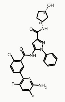 Nc1nc(-c2ccc(Cl)c(C(=O)Nc3cc(C(=O)N[C@@H]4CC[C@H](O)C4)nn3-c3ccccc3)c2)c(F)cc1F